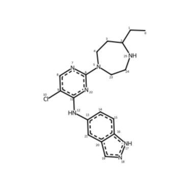 CCC1CCN(c2ncc(Cl)c(Nc3ccc4[nH]ncc4c3)n2)CCN1